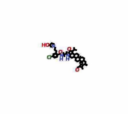 C=C(CC1CCC2(C)C3CCC4C5=C(C(C)C)C(=O)CC5(NC(=C)C(C)(C)NC(=O)c5ccc(Cl)cc5CCCN5CCC(O)C5)CCC4C3CCC2C1(C)C)C1CC(C=O)C1C